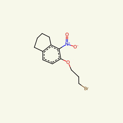 O=[N+]([O-])c1c(OCCCBr)ccc2c1CCCC2